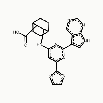 O=C(O)C1C2CCC(CC2)C1Nc1cc(-c2nccs2)nc(-c2c[nH]c3ncncc23)n1